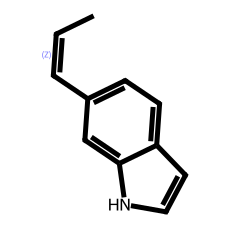 C/C=C\c1ccc2cc[nH]c2c1